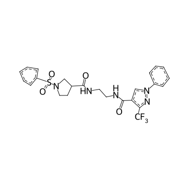 O=C(NCCNC(=O)C1CCN(S(=O)(=O)c2ccccc2)C1)c1cn(-c2ccccc2)nc1C(F)(F)F